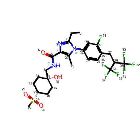 CCc1nc(C(=O)NC[C@]2(O)CC[C@@H](S(C)(=O)=O)CC2)c(C)n1-c1ccc(CC(C(F)(F)F)C(F)(F)F)c(F)c1